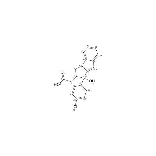 O=C(O)CC1Cn2c(nc3ccccc32)S1(O)c1ccc(Cl)cc1